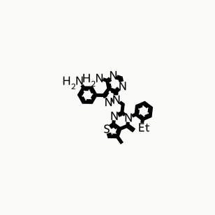 C=C1c2c(C)csc2N=C(Cn2nc(-c3cccc(N)c3)c3c(N)ncnc32)N1c1ccccc1CC